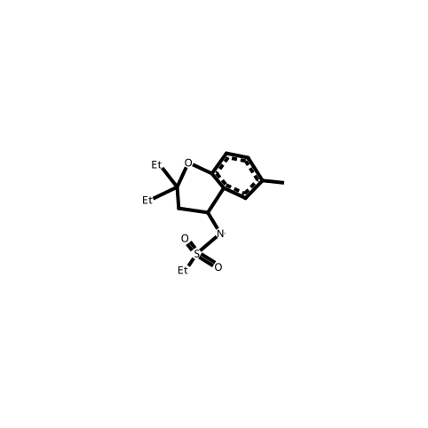 CCC1(CC)CC([N]S(=O)(=O)CC)c2cc(C)ccc2O1